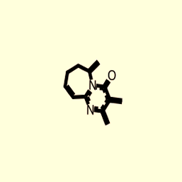 C=C1CCC=Cc2nc(=C)c(=C)c(=O)n21